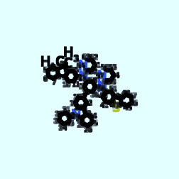 CC1(C)c2ccccc2-c2ccc(N(c3cc(-c4ccc5c(c4)c4ccccc4n5-c4ccccc4)cc(N(c4ccc5sc6ccccc6c5c4)c4ccccn4)c3)c3ccccn3)cc21